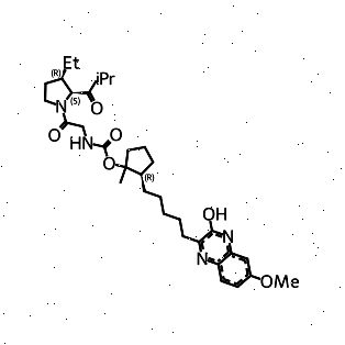 CC[C@@H]1CCN(C(=O)CNC(=O)OC2(C)CCC[C@H]2CCCCCc2nc3ccc(OC)cc3nc2O)[C@@H]1C(=O)C(C)C